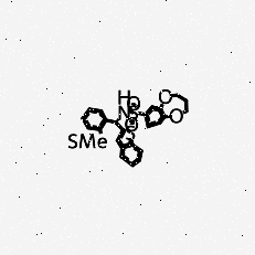 CSc1ccccc1[C@@H](NS(=O)(=O)c1ccc2c(c1)OCCCO2)c1cc2ccccc2s1